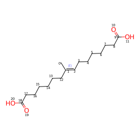 C/C(=C\CCCCCCC(=O)O)CCCCCCC(=O)O